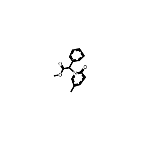 COC(=O)C(c1ccccc1)n1cc(C)ccc1=O